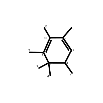 CC1=[C]C(C)C(C)(C)C(C)=C1C